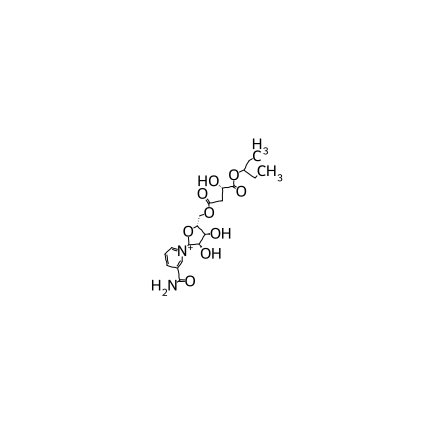 CCC(CC)OC(=O)[C@@H](O)CC(=O)OC[C@H]1O[C@@H]([n+]2cccc(C(N)=O)c2)[C@H](O)[C@@H]1O